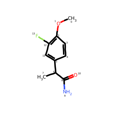 COc1ccc(C(C)C(N)=O)cc1F